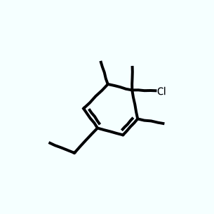 CCC1=CC(C)C(C)(Cl)C(C)=C1